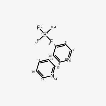 F[B-](F)(F)F.c1ccncc1.c1ccncc1